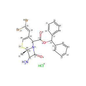 Cl.NC1C(=O)N2C(C(=O)OC(c3ccccc3)c3ccccc3)C(C=C(Br)Br)=CS[C@@H]12